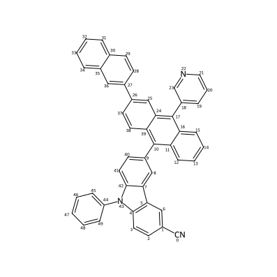 N#Cc1ccc2c(c1)c1cc(-c3c4ccccc4c(-c4cccnc4)c4cc(-c5ccc6ccccc6c5)ccc34)ccc1n2-c1ccccc1